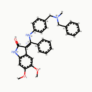 COc1cc2c(cc1OC)/C(=C(/Nc1ccc(CN(C)Cc3ccccc3)cc1)c1ccccc1)C(=O)N2